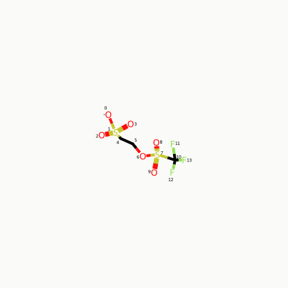 [O]S(=O)(=O)CCOS(=O)(=O)C(F)(F)F